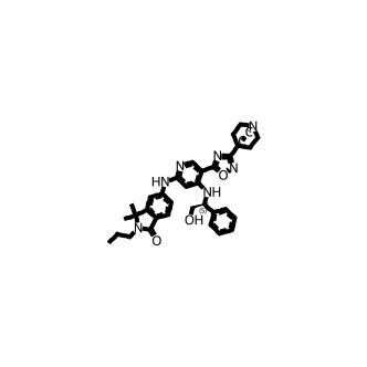 CCCN1C(=O)c2ccc(Nc3cc(N[C@H](CO)c4ccccc4)c(-c4nc(C56CCN(CC5)CC6)no4)cn3)cc2C1(C)C